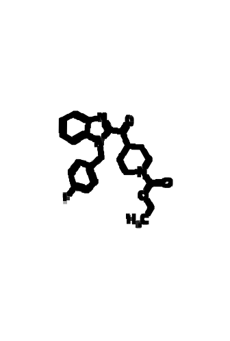 CCOC(=O)N1CCC(C(=O)c2nc3ccccc3n2Cc2ccc(F)cc2)CC1